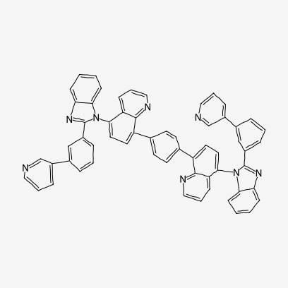 c1cncc(-c2cccc(-c3nc4ccccc4n3-c3ccc(-c4ccc(-c5ccc(-n6c(-c7cccc(-c8cccnc8)c7)nc7ccccc76)c6cccnc56)cc4)c4ncccc34)c2)c1